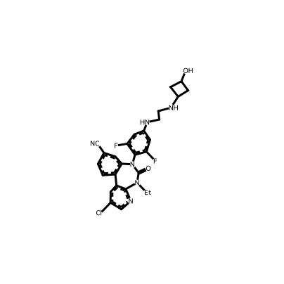 CCN1C(=O)N(c2c(F)cc(NCCNC3CC(O)C3)cc2F)c2cc(C#N)ccc2-c2cc(Cl)cnc21